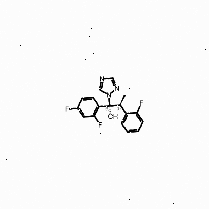 C[C@@H](c1ccccc1F)[C@@](O)(c1ccc(F)cc1F)n1cncn1